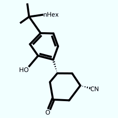 CCCCCCC(C)(C)c1ccc([C@H]2CC(=O)C[C@@H](C#N)C2)c(O)c1